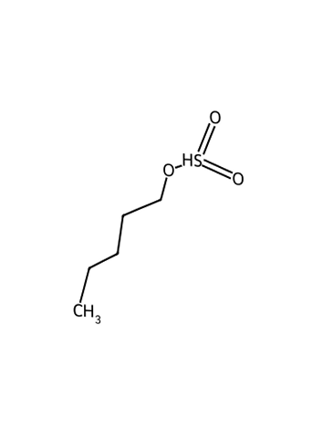 CCCCCO[SH](=O)=O